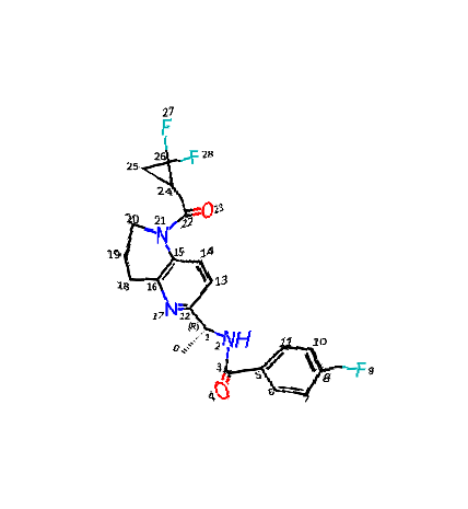 C[C@@H](NC(=O)c1ccc(F)cc1)c1ccc2c(n1)CCCN2C(=O)C1CC1(F)F